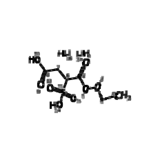 CCOOC(=O)C(CC(=O)O)S(=O)(=O)O.[LiH].[LiH]